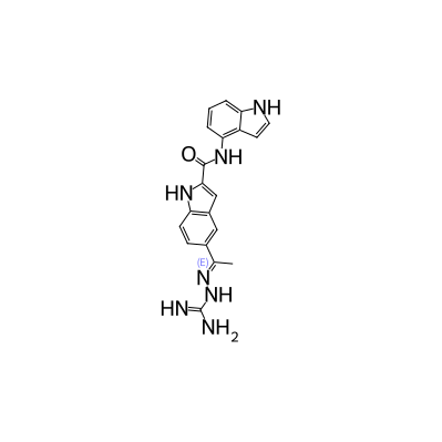 C/C(=N\NC(=N)N)c1ccc2[nH]c(C(=O)Nc3cccc4[nH]ccc34)cc2c1